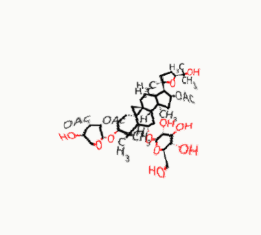 CC(=O)O[C@@H]1[C@@H](OC(C)=O)[C@H](O[C@H]2CC[C@]34C[C@]35CC[C@]3(C)[C@@H]([C@@]6(C)CC[C@@H](C(C)(C)O)O6)[C@@H](OC(C)=O)C[C@@]3(C)[C@@H]5C[C@H](O[C@@H]3O[C@H](CO)[C@@H](O)[C@H](O)[C@H]3O)[C@H]4C2(C)C)OC[C@H]1O